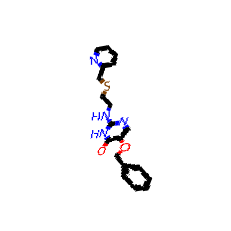 O=c1[nH]c(NCCSCc2ccccn2)ncc1OCc1ccccc1